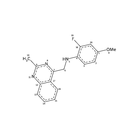 COc1ccc(NCc2nc(C)nc3ccccc23)c(F)c1